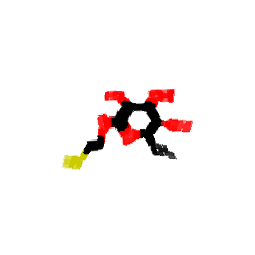 CC1O[C@@H](OCCS)C(O)C(O)[C@@H]1O